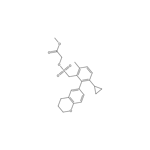 COC(=O)COS(=O)(=O)Cc1c(C)ccc(C2CC2)c1-c1ccc2c(c1)CCCO2